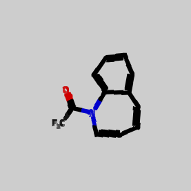 O=C(N1C=CC=Cc2ccccc21)C(F)(F)F